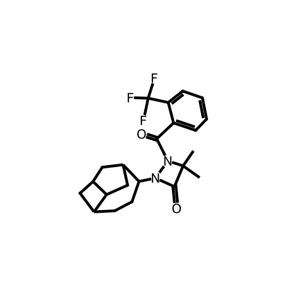 CC1(C)C(=O)N(C2CCC3CC4CC2CC34)N1C(=O)c1ccccc1C(F)(F)F